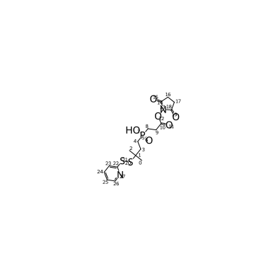 CC(C)(CCP(=O)(O)CCC(=O)ON1C(=O)CCC1=O)SSc1ccccn1